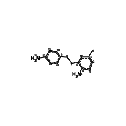 [CH2]c1ccc(N)c([CH]Cc2ccc(N)cc2)c1